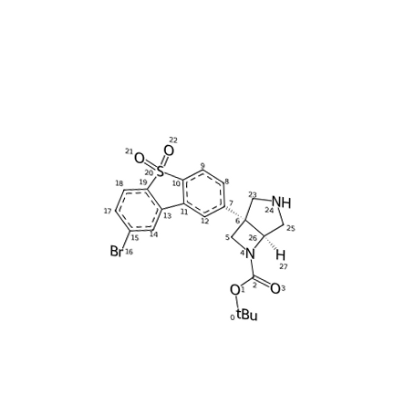 CC(C)(C)OC(=O)N1C[C@@]2(c3ccc4c(c3)-c3cc(Br)ccc3S4(=O)=O)CNC[C@@H]12